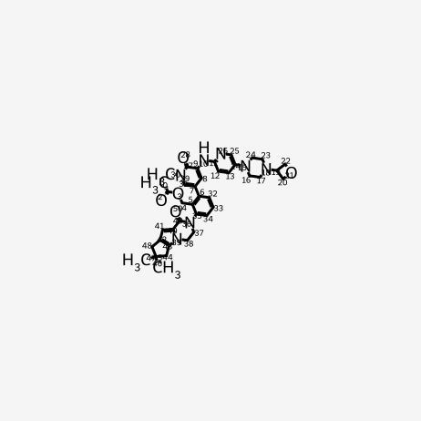 CC(=O)OCc1c(-c2cc(Nc3ccc(N4CCN(C5COC5)CC4)cn3)c(=O)n(C)c2)cccc1N1CCn2c(cc3c2CC(C)(C)C3)C1=O